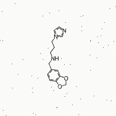 c1cn(CCCNCc2ccc3c(c2)OCO3)cn1